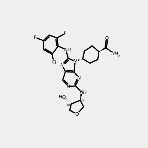 NC(=O)[C@H]1CC[C@H](n2c(Nc3c(F)cc(F)cc3Cl)nc3cnc(N[C@H]4COC[C@@H]4O)nc32)CC1